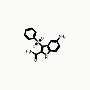 NC(=O)c1[nH]c2ccc(N)cc2c1S(=O)(=O)c1ccccc1